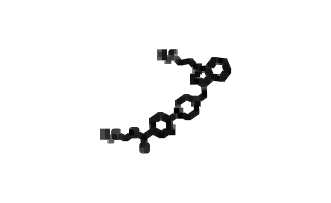 CCCn1nc(CN2CCN(c3ccc(C(=O)OCC)cn3)CC2)c2ccccc21